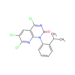 CC(C)c1ccccc1-n1c(=O)nc(Cl)c2cc(Cl)c(Cl)nc21